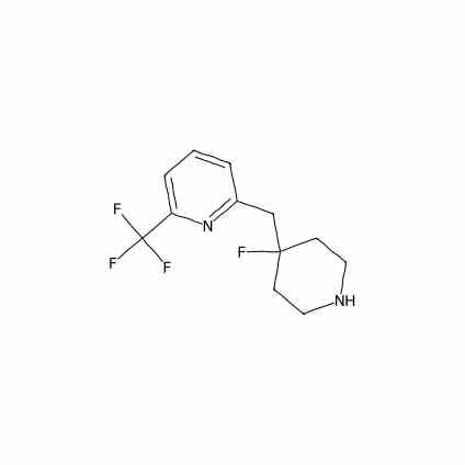 FC1(Cc2cccc(C(F)(F)F)n2)CCNCC1